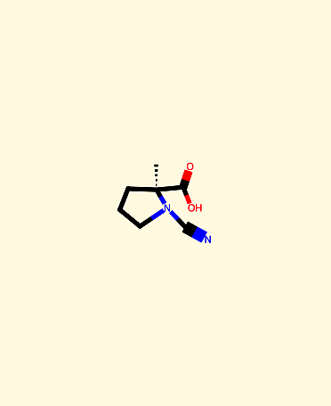 C[C@@]1(C(=O)O)CCCN1C#N